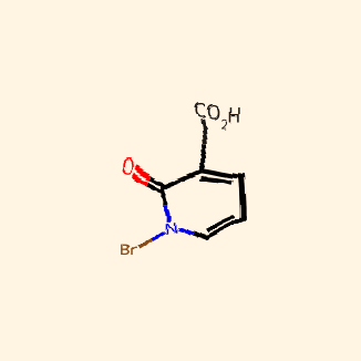 O=C(O)c1cccn(Br)c1=O